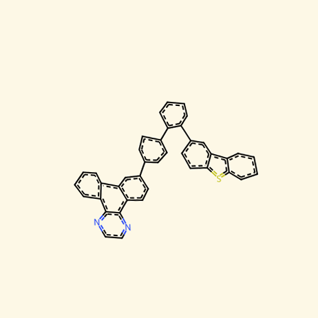 c1ccc(-c2ccc3sc4ccccc4c3c2)c(-c2ccc(-c3ccc4c(c3)c3ccccc3c3nccnc43)cc2)c1